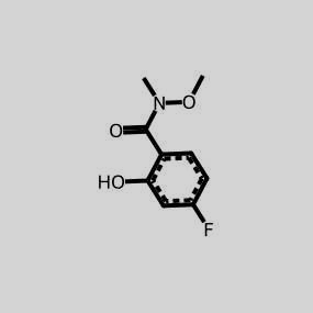 CON(C)C(=O)c1ccc(F)cc1O